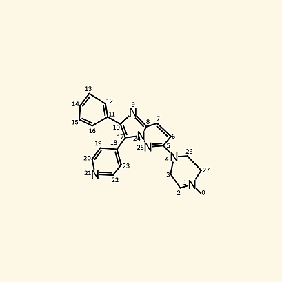 CN1CCN(c2ccc3nc(-c4ccccc4)c(-c4ccncc4)n3n2)CC1